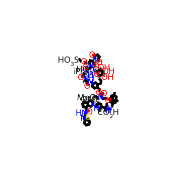 COCCN(CCOC12CC3(C)CC(C)(CC(Cn4ncc(-c5ccc(N6CCc7c(OC)ccc(C(=O)Nc8nc9ccccc9s8)c7C6)nc5C(=O)O)c4C)(C3)C1)C2)C(=O)OCc1ccc(NC(=O)[C@H](C)NC(=O)[C@@H](NC(=O)CN2C(=O)[C@@H](N3C(=O)C=CC3=O)C[C@H]2COCCS(=O)(=O)O)C(C)C)cc1CCC[C@@H]1O[C@H](C(=O)O)[C@@H](O)[C@H](O)[C@H]1O